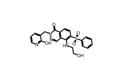 O=c1c2ccc(S(=O)(=O)c3ccccc3)c(NCCO)c2cnn1Cc1cccnc1O